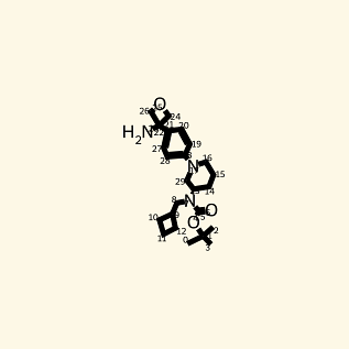 CC(C)(C)OC(=O)N(CC1CCC1)[C@@H]1CCCN(c2ccc(C3(N)COC3)cc2)C1